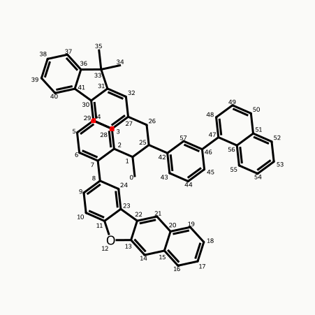 CC(c1ccccc1-c1ccc2oc3cc4ccccc4cc3c2c1)C(Cc1ccc2c(c1)C(C)(C)c1ccccc1-2)c1cccc(-c2cccc3ccccc23)c1